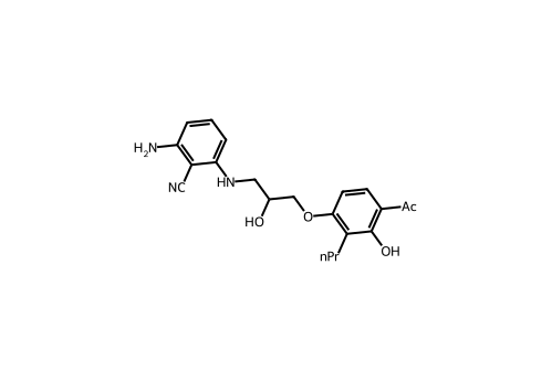 CCCc1c(OCC(O)CNc2cccc(N)c2C#N)ccc(C(C)=O)c1O